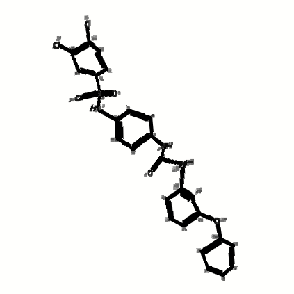 O=C(Nc1ccc(NS(=O)(=O)c2ccc(Cl)c(Cl)c2)cc1)Nc1cccc(Oc2ccccc2)c1